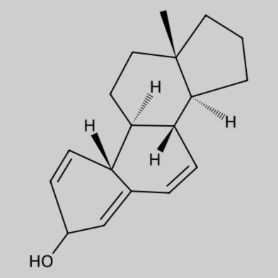 C[C@@]12CCC[C@H]1[C@@H]1C=CC3=CC(O)C=C[C@@H]3[C@H]1CC2